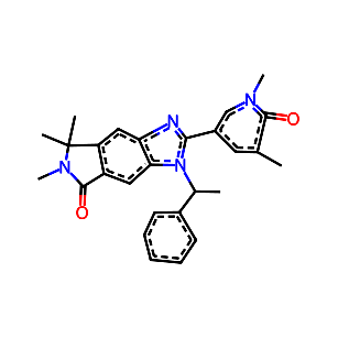 Cc1cc(-c2nc3cc4c(cc3n2C(C)c2ccccc2)C(=O)N(C)C4(C)C)cn(C)c1=O